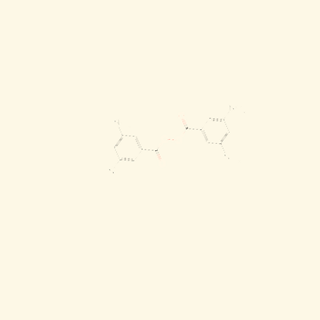 O=C(OOC(=O)c1cc([N+](=O)[O-])cc([N+](=O)[O-])c1)c1cc([N+](=O)[O-])cc([N+](=O)[O-])c1